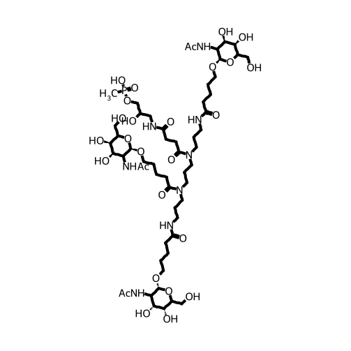 CC(=O)NC1[C@H](OCCCCC(=O)NCCCN(CCCN(CCCNC(=O)CCCCO[C@@H]2OC(CO)[C@H](O)[C@H](O)C2NC(C)=O)C(=O)CCC(=O)NCC(O)COP(C)(=O)O)C(=O)CCCCO[C@@H]2OC(CO)[C@H](O)[C@H](O)C2NC(C)=O)OC(CO)[C@H](O)[C@@H]1O